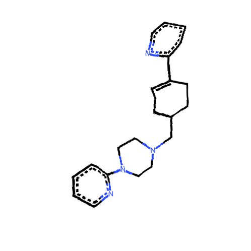 C1=C(c2ccccn2)CCC(CN2CCN(c3ccccn3)CC2)C1